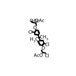 CC(=O)OCC(COc1ccc(C(C)(C)c2ccc(OCC(CCl)OC(C)=O)c(Cl)c2)cc1Cl)OC(C)=O